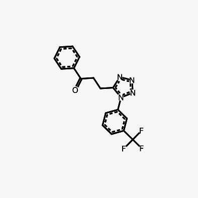 O=C(CCc1nnnn1-c1cccc(C(F)(F)F)c1)c1ccccc1